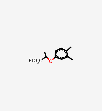 CCOC(=O)C(C)Oc1ccc(C)c(C)c1